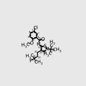 COc1ccc(Cl)cc1C(=O)N=c1sn(C(C)(C)C)cc1CCC(C)(C)F